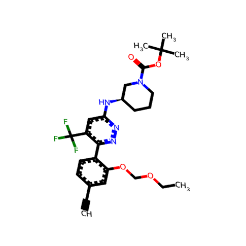 C#Cc1ccc(-c2nnc(N[C@@H]3CCCN(C(=O)OC(C)(C)C)C3)cc2C(F)(F)F)c(OCOCC)c1